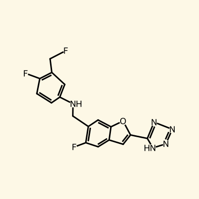 FCc1cc(NCc2cc3oc(-c4nnn[nH]4)cc3cc2F)ccc1F